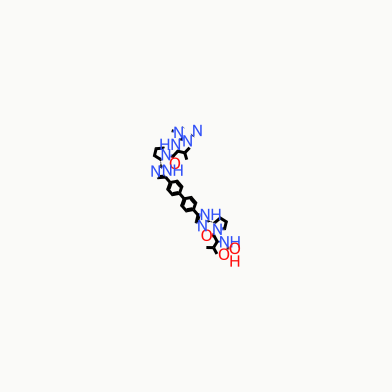 CC(C)[C@H](NC(=O)O)C(=O)N1CCC[C@H]1c1ncc(-c2ccc(-c3ccc(-c4cnc([C@@H]5CCCN5C(=O)[C@@H](NC(=NC#N)N(C)C)C(C)C)[nH]4)cc3)cc2)[nH]1